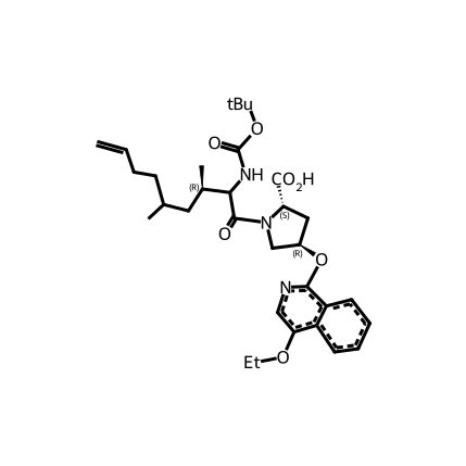 C=CCCC(C)C[C@@H](C)C(NC(=O)OC(C)(C)C)C(=O)N1C[C@H](Oc2ncc(OCC)c3ccccc23)C[C@H]1C(=O)O